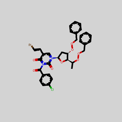 CC(OOCc1ccccc1)[C@H]1O[C@@H](n2cc(/C=C/Br)c(=O)n(C(=O)c3ccc(Cl)cc3)c2=O)C[C@@H]1OOCc1ccccc1